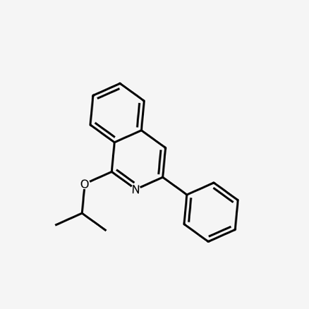 CC(C)Oc1nc(-c2ccccc2)cc2ccccc12